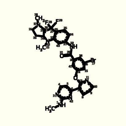 CNc1nccc(-c2cccnc2Oc2cc(Br)cc(C(=O)Nc3ccc(C(F)(F)F)c(N(C)C4CCN(C)C4)c3)c2)n1